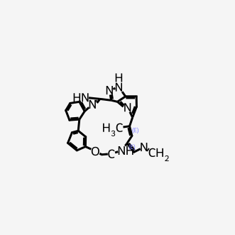 C=N/C=C1\C=C(/C)c2ccc3[nH]nc(c3n2)-c2nc3c(cccc3[nH]2)-c2cccc(c2)OCCN1